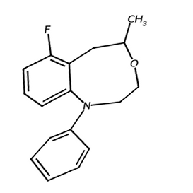 CC1Cc2c(F)cccc2N(c2ccccc2)CCO1